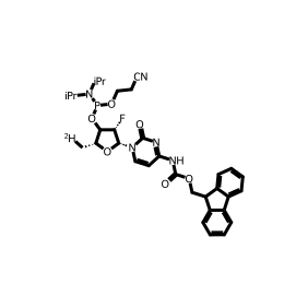 [2H]C[C@H]1O[C@@H](n2ccc(NC(=O)OCC3c4ccccc4-c4ccccc43)nc2=O)[C@@H](F)C1OP(OCCC#N)N(C(C)C)C(C)C